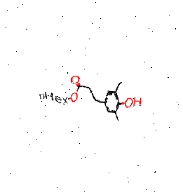 CCCCCCOC(=O)CCc1cc(C)c(O)c(C)c1